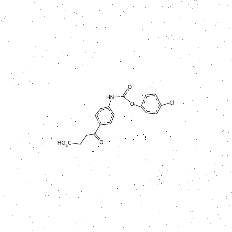 O=C(O)CCC(=O)c1ccc(NC(=O)Oc2ccc(Cl)cc2)cc1